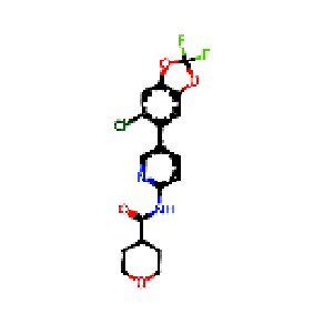 O=C(Nc1ccc(-c2cc3c(cc2Cl)OC(F)(F)O3)cn1)C1CCOCC1